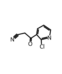 N#CCC(=O)c1cccnc1Cl